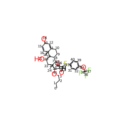 CCCC1O[C@@H]2CC3C4CCC5=CC(=O)C=CC5(C)C4[C@@H](O)CC3(C)[C@]2(C(=O)CSc2ccc(OC(F)(F)F)cc2)O1